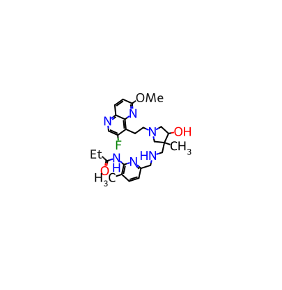 CCC(=O)Nc1nc(CNCC2(C)CN(CCc3c(F)cnc4ccc(OC)nc34)CC2O)ccc1C